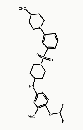 COc1nc(NC2CCN(S(=O)(=O)c3cccc(N4CCC(C=O)CC4)c3)CC2)ncc1OC(F)F